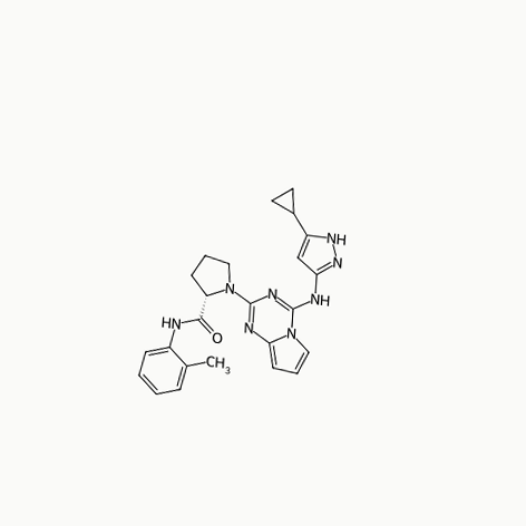 Cc1ccccc1NC(=O)[C@@H]1CCCN1c1nc(Nc2cc(C3CC3)[nH]n2)n2cccc2n1